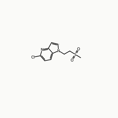 CS(=O)(=O)CCn1[c]cc2nc(Cl)ccc21